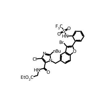 CCCCc1nc(Cl)c(C(=O)NCC(=O)OCC)n1Cc1ccc2oc(-c3ccccc3NS(=O)(=O)C(F)(F)F)c(Br)c2c1